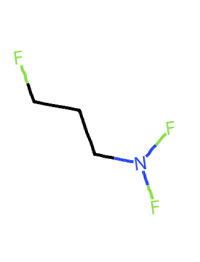 FCCCN(F)F